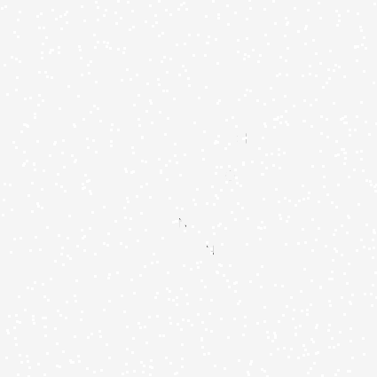 C=NN(C)C(OCl)=C(C)C